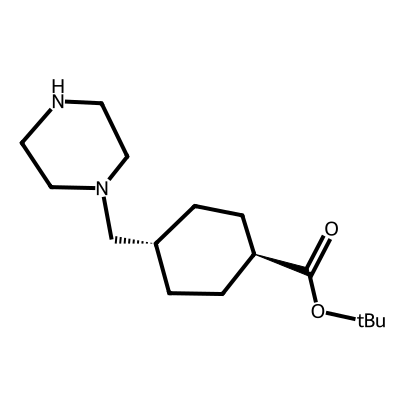 CC(C)(C)OC(=O)[C@H]1CC[C@H](CN2CCNCC2)CC1